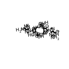 Nc1nc2c(ncn2[C@@H]2O[C@@H]3COP(=O)(O)OC4C(O)[C@H](n5cnc6c(N)ncnc65)O[C@@H]4COP(=O)(O)OC3C2O)c(=O)[nH]1